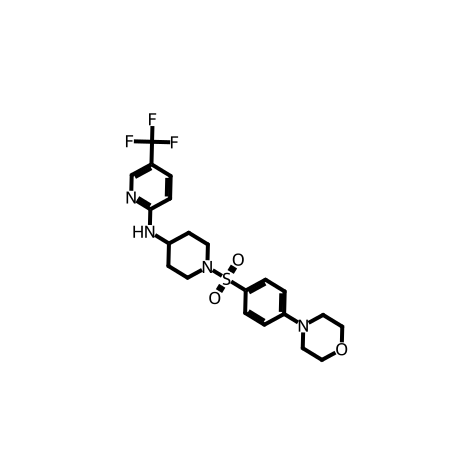 O=S(=O)(c1ccc(N2CCOCC2)cc1)N1CCC(Nc2ccc(C(F)(F)F)cn2)CC1